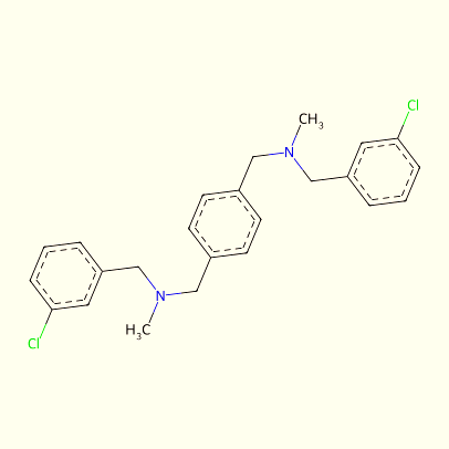 CN(Cc1ccc(CN(C)Cc2cccc(Cl)c2)cc1)Cc1cccc(Cl)c1